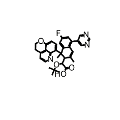 CC1=Cc2c(-c3cncnc3)cc(F)cc2C(C)(c2ccc3c4c(ccnc24)CCO3)C1C(OC(C)(C)C)C(=O)O